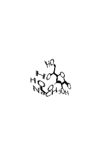 CCO.O=C1O[C@H]([C@@H](O)CO)C([O-])=C1O.[Na+]